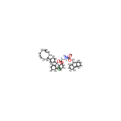 CN(CCC(=O)OC(c1ccccc1)(c1ccc(C2CCCCCCCCCC2)cc1)c1ccccc1Cl)C(=O)OCC1c2ccccc2-c2ccccc21